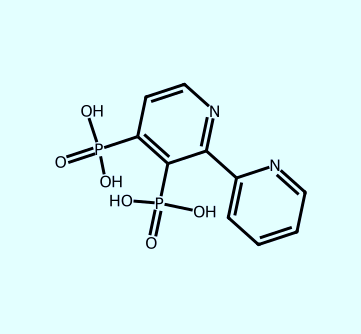 O=P(O)(O)c1ccnc(-c2ccccn2)c1P(=O)(O)O